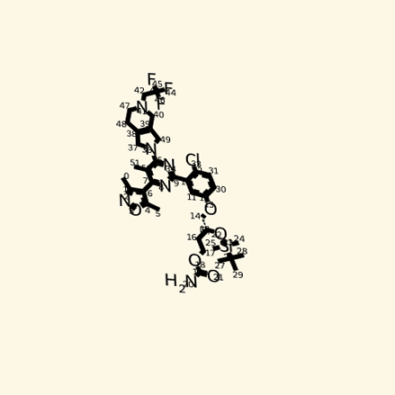 Cc1noc(C)c1-c1nc(-c2cc(OC[C@@H](CCOC(N)=O)O[Si](C)(C)C(C)(C)C)ccc2Cl)nc(N2CC3=C(CN(CC(F)(F)F)CC3)C2)c1C